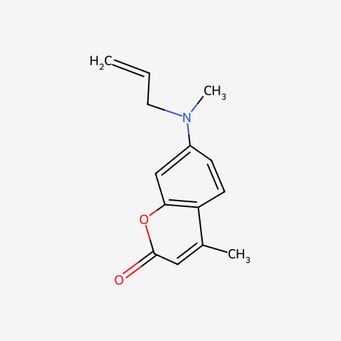 C=CCN(C)c1ccc2c(C)cc(=O)oc2c1